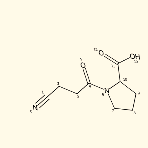 N#CCCC(=O)N1CCCC1C(=O)O